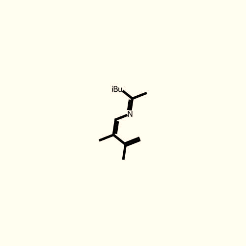 C=C(C)/C(C)=C\N=C(\C)C(C)CC